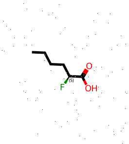 CCCC[C@H](F)C(=O)O